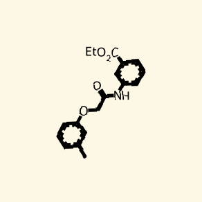 CCOC(=O)c1cccc(NC(=O)COc2cccc(C)c2)c1